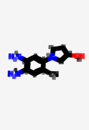 N#Cc1cc(N)c(N)cc1N1CCC(O)C1